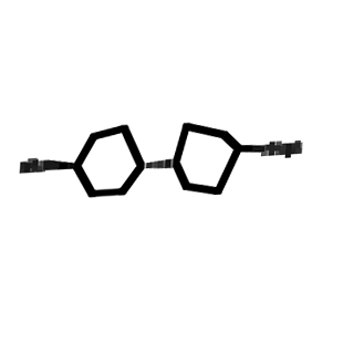 CCCCCCCC1CCC([C@H]2CC[C@H](CCCC)CC2)CC1